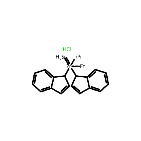 CC[CH2][Zr](=[SiH2])([CH2]C)([CH]1C=Cc2ccccc21)[CH]1C=Cc2ccccc21.Cl